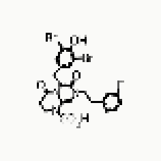 O=C1[C@H](Cc2cc(Br)c(O)c(Br)c2)N2C(=O)CCN(C(=O)O)C2=CN1CCc1cccc(F)c1